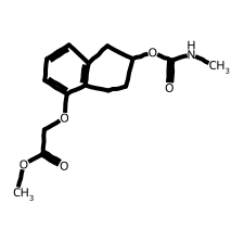 CNC(=O)OC1CCc2c(cccc2OCC(=O)OC)C1